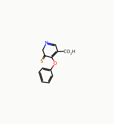 O=C(O)C1=C(Oc2ccccc2)C(=S)CN=C1